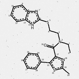 CCN(CCSc1nc2ccccc2[nH]1)C(=O)c1nc(C)sc1-c1ccccc1